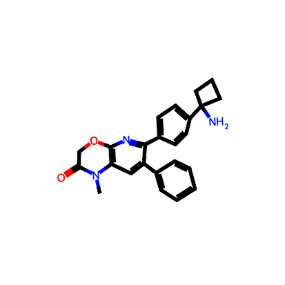 CN1C(=O)COc2nc(-c3ccc(C4(N)CCC4)cc3)c(-c3ccccc3)cc21